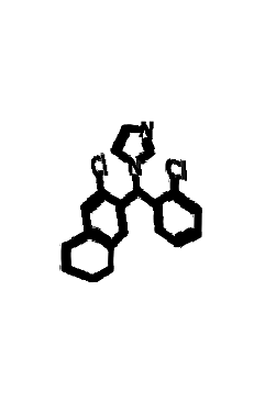 Clc1ccccc1C(c1cc2c(cc1Cl)CCCC2)n1ccnc1